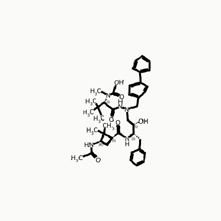 CC(=O)N[C@@H]1C[C@H](C(=O)N[C@@H](Cc2ccccc2)[C@@H](O)CN(Cc2ccc(-c3ccccc3)cc2)NC(=O)[C@@H](N(C)C(=O)O)C(C)(C)C)C1(C)C